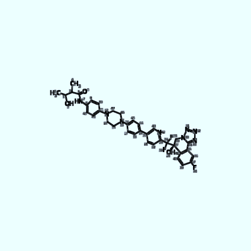 CC(O)C(C)C(=O)Nc1ccc(N2CCN(c3ccc(-c4ccc(C(F)(F)[C@]5(O)Cn6nnnc6-c6cc(F)ccc65)nc4)cc3)CC2)cc1